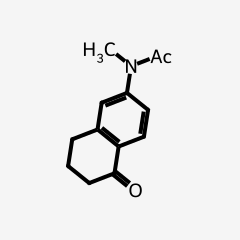 CC(=O)N(C)c1ccc2c(c1)CCCC2=O